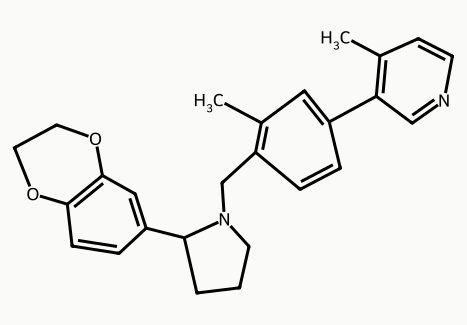 Cc1cc(-c2cnccc2C)ccc1CN1CCCC1c1ccc2c(c1)OCCO2